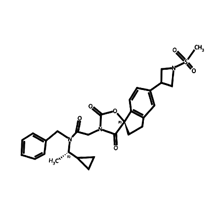 C[C@@H](C1CC1)N(Cc1ccccc1)C(=O)CN1C(=O)O[C@@]2(CCc3cc(C4CN(S(C)(=O)=O)C4)ccc32)C1=O